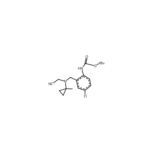 CC(C)(C)OC(=O)Nc1ccc(Cl)cc1CN(CC#N)C1(C)CC1